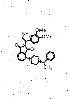 COc1ccc(C(CN)N2C(=O)c3cccc(N4CCN([C@H](C)c5ccccc5)CC4)c3C2=O)cc1OC